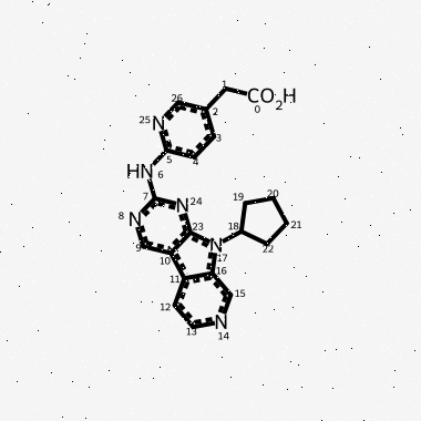 O=C(O)Cc1ccc(Nc2ncc3c4ccncc4n(C4CCCC4)c3n2)nc1